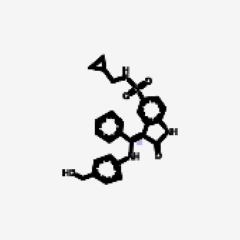 O=C1Nc2ccc(S(=O)(=O)NCC3CC3)cc2/C1=C(/Nc1ccc(CO)cc1)c1ccccc1